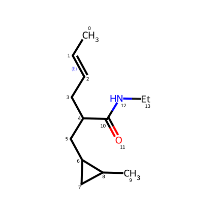 C/C=C/CC(CC1CC1C)C(=O)NCC